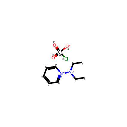 CCN(CC)[n+]1ccccc1.[O]=[Cr](=[O])([O-])[Cl]